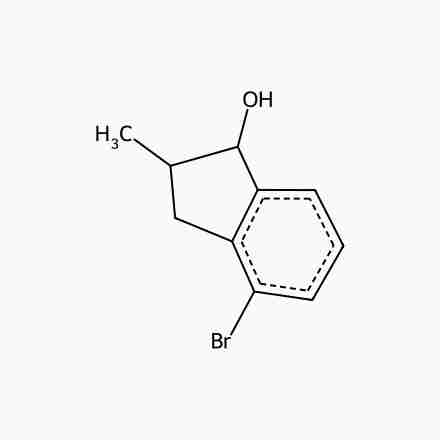 CC1Cc2c(Br)cccc2C1O